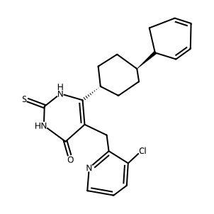 O=c1[nH]c(=S)[nH]c([C@H]2CC[C@H](C3C=CC=CC3)CC2)c1Cc1ncccc1Cl